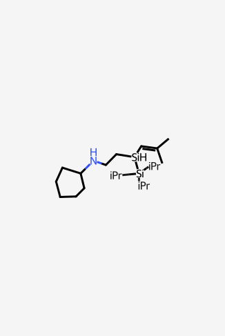 CC(C)=C[SiH](CCNC1CCCCC1)[Si](C(C)C)(C(C)C)C(C)C